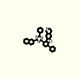 c1ccc(-c2nc(-c3ccc4ccccc4c3)nc(-c3ccc(-c4ccccc4)c4oc5cc6ccncc6cc5c34)n2)cc1